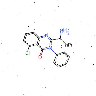 CCCC(N)c1nc2cccc(Cl)c2c(=O)n1-c1ccccc1